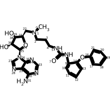 CN(CCCNC(=O)Nc1ccccc1Oc1ccccc1)C[C@H]1O[C@@H](n2cnc3c(N)ncnc32)[C@H](O)[C@H]1O